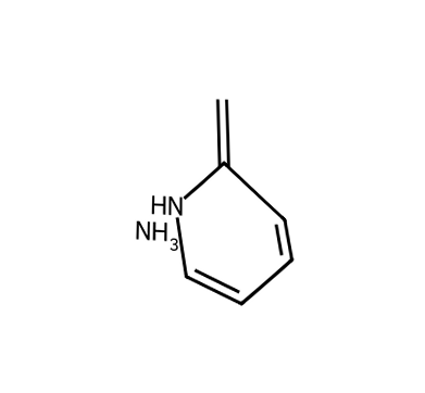 C=C1C=CC=CN1.N